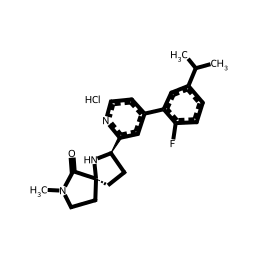 CC(C)c1ccc(F)c(-c2ccnc([C@H]3CC[C@@]4(CCN(C)C4=O)N3)c2)c1.Cl